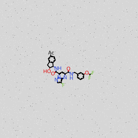 CC(=O)c1ccc2c(c1)C[C@H](O)[C@@H]2NC(=O)c1cc(C(=O)NCc2cccc(OC(F)F)c2)nc2c(F)cnn12